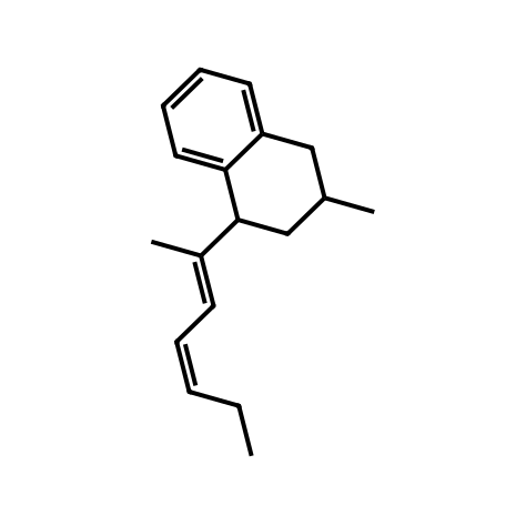 CC/C=C\C=C(/C)C1CC(C)Cc2ccccc21